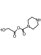 O=C(CO)OC(=O)N1CCNCC1